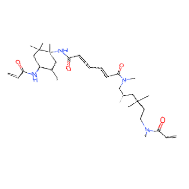 C=CC(=O)NC1CC(C)(C)C(C)(NC(=O)/C=C/C=C/C(=O)N(C)CC(C)CC(C)(C)CCN(C)C(=O)C=C)CC1C